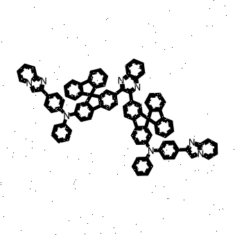 c1ccc(N(c2ccc(-c3cn4ccccc4n3)cc2)c2ccc3c(c2)C2(c4ccccc4-c4ccccc42)c2cc(-c4nc5ccccc5nc4-c4ccc5c(c4)C4(c6ccccc6-c6ccccc64)c4cc(N(c6ccccc6)c6ccc(-c7cn8ccccc8n7)cc6)ccc4-5)ccc2-3)cc1